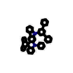 c1ccc(-c2cc(-c3ccccc3)cc(-n3c4ccccc4c4cc5c(cc43)N(c3ccccc3)c3ccccc3C53c4ccccc4-c4ccccc43)c2)cc1